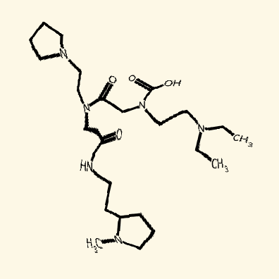 CCN(CC)CCN(CC(=O)N(CCN1CCCC1)CC(=O)NCCC1CCCN1C)C(=O)O